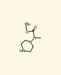 CN(C(=O)OC(C)(C)C)N1CCNCC1